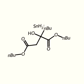 CCCCOC(=O)CC(O)(CCCC)C(=O)OCCCC.[SnH2]